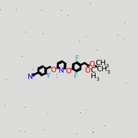 CC(C)(C)OC(=O)Cc1cc(F)c(Oc2cccc(OCc3ccc(C#N)cc3F)n2)cc1F